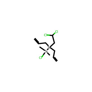 C=CC[Si](CC=C)(CC(Cl)Cl)[Si](C)(C)Cl